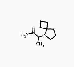 CC(NN)N1CCCC12CCC2